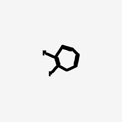 FC1=C(F)CC=CC=C1